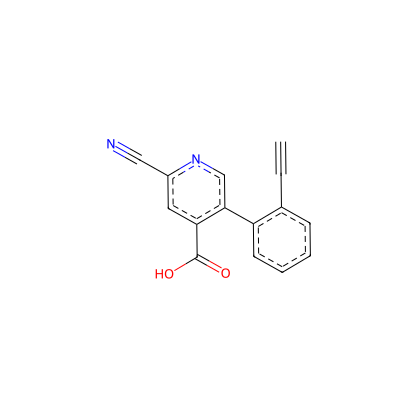 C#Cc1ccccc1-c1cnc(C#N)cc1C(=O)O